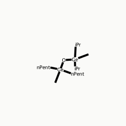 CCCC[CH2][Ge]([CH3])([CH2]CCCC)[O][Ge]([CH3])([CH](C)C)[CH](C)C